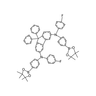 CC1(C)OB(c2ccc(N(c3ccc(F)cc3)c3ccc4c(c3)-c3cc(N(c5ccc(F)cc5)c5ccc(B6OC(C)(C)C(C)(C)O6)cc5)ccc3C4(c3ccccc3)c3ccccc3)cc2)OC1(C)C